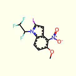 COc1ccc2c(cc(I)n2C(F)C(F)F)c1[N+](=O)[O-]